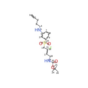 C#CCCCNc1cccc(S(=O)(=O)C/C(F)=C/CNC(=O)OC(C)(C)C)c1